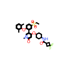 CCS(=O)(=O)c1ccc(Oc2c(C)cccc2C)c(-c2cn(C)c(=O)cc2OC2CCC(NC(=O)C3CC(F)(F)C3)CC2)c1